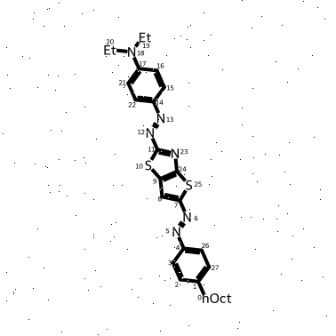 CCCCCCCCc1ccc(N=Nc2cc3sc(N=Nc4ccc(N(CC)CC)cc4)nc3s2)cc1